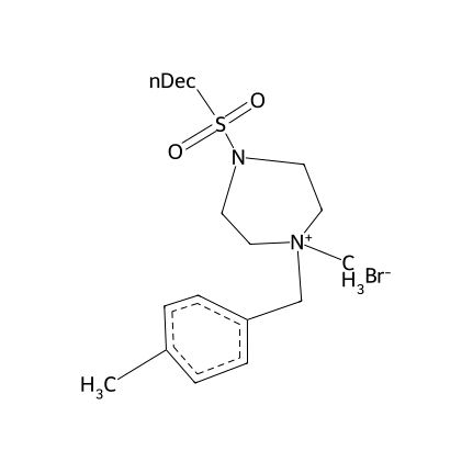 CCCCCCCCCCS(=O)(=O)N1CC[N+](C)(Cc2ccc(C)cc2)CC1.[Br-]